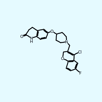 O=C1CCc2cc(OC3CCN(CC4=C(Cl)c5cc(F)ccc5OC4)CC3)ccc2N1